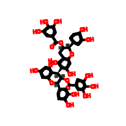 O=C(O[C@@H]1[C@@H](c2c(O)cc3c(c2O)C[C@@H](OC(=O)c2cc(O)c(O)c(O)c2)[C@@H](c2ccc(O)c(O)c2)O3)c2c(O)cc(O)cc2O[C@@H]1c1ccc(O)c(O)c1)c1cc(O)c(O)c(O)c1